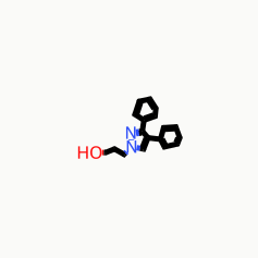 OCCCn1cc(-c2ccccc2)c(-c2ccccc2)n1